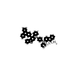 CC1(C)c2ccccc2-c2ccc(N(c3ccccc3)c3ccc(-n4c5ccccc5c5c(-c6ccc7c8ccccc8c8ccccc8c7c6)c6c(cc54)oc4ccccc46)cc3)cc21